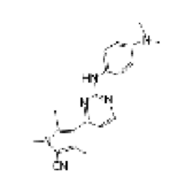 Cc1c(-c2ccnc(Nc3ccc(N(C)C)cc3)n2)c(C)n(C)c1C#N